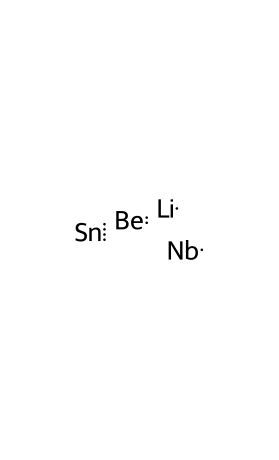 [Be].[Li].[Nb].[Sn]